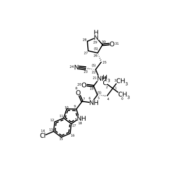 CC(C)(C)C[C@H](NC(=O)c1cc2cc(Cl)ccc2[nH]1)C(=O)N[C@H](C#N)C[C@@H]1CCNC1=O